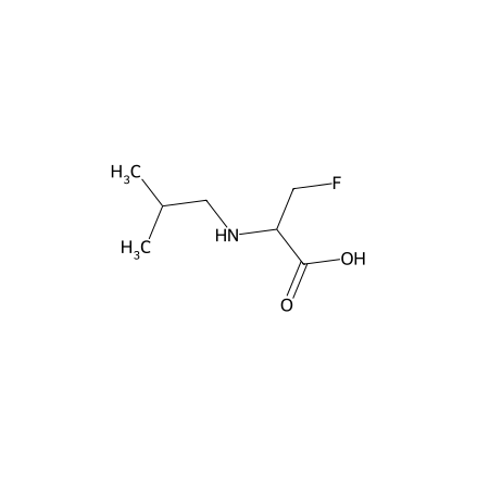 CC(C)CNC(CF)C(=O)O